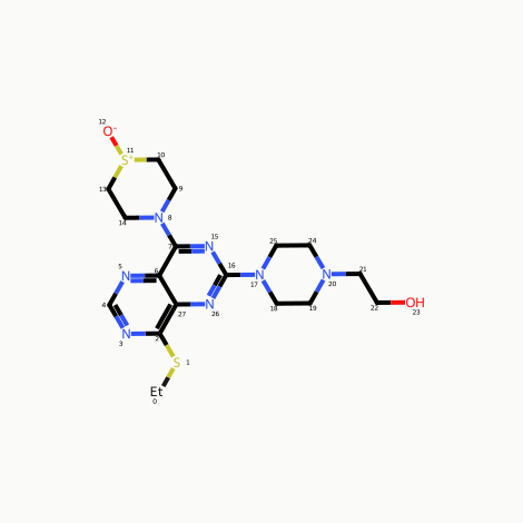 CCSc1ncnc2c(N3CC[S+]([O-])CC3)nc(N3CCN(CCO)CC3)nc12